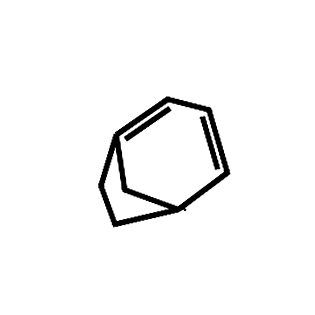 C1=C[C]2CCC(=C1)C2